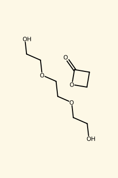 O=C1CCO1.OCCOCCOCCO